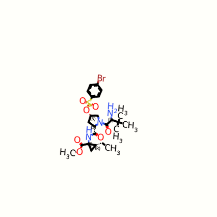 CC[C@@H]1C[C@]1(NC(=O)[C@@H]1C[C@H](OS(=O)(=O)c2ccc(Br)cc2)CN1C(=O)[C@@H](N)C(C)(C)C)C(=O)OC